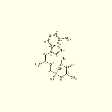 CCCCOC(=O)C(C)NP(=O)(O)COC(C)Cn1cnc2c(N)ncnc21